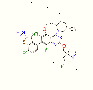 N#Cc1c(N)sc2c(F)ccc(-c3c(Cl)c4c5c(nc(OCC67CCCN6C[C@H](F)C7)nc5c3F)N3CC(C#N)CCC3CCO4)c12